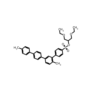 CCOCC(COCC)OS(=O)(=O)c1ccc(-c2cc(-c3ccc(-c4ccc(C)cc4)cc3)ccc2C)cc1